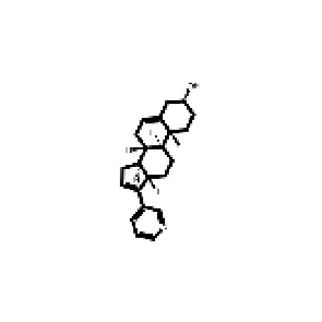 C[C@]12CC[C@H](O)CC1=CC[C@H]1[C@@H]3CC=C(c4cccnc4)[C@H]3CC[C@@H]12